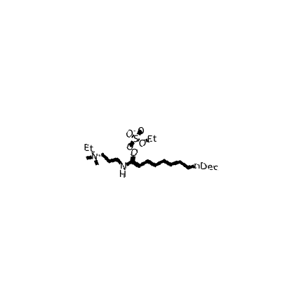 CCCCCCCCCCCCCCCCCC(=O)NCCC[N+](C)(C)CC.CCOS(=O)(=O)[O-]